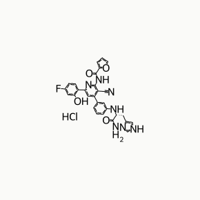 Cl.N#Cc1c(-c2cccc(N[C@H](Cc3c[nH]cn3)C(N)=O)c2)cc(-c2ccc(F)cc2O)nc1NC(=O)c1ccco1